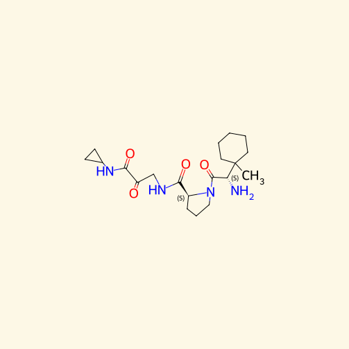 CC1([C@H](N)C(=O)N2CCC[C@H]2C(=O)NCC(=O)C(=O)NC2CC2)CCCCC1